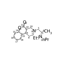 CCCN(CC)C(C)CN1CCc2c(c(=O)oc3ccccc23)C1